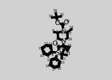 CC1CN(C2(C(=O)[Si](c3ccccc3)(c3ccccc3)C(C)(C)C)CC2)CC(C)N1C(=O)OC(C)(C)C